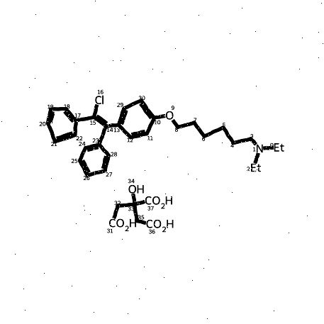 CCN(CC)CCCCCCOc1ccc(C(=C(Cl)c2ccccc2)c2ccccc2)cc1.O=C(O)CC(O)(CC(=O)O)C(=O)O